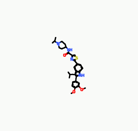 COc1ccc(-c2[nH]c3ccc(-c4nc(C(=O)NC5CCN(C(C)C)CC5)cs4)cc3c2C(C)C)cc1OC